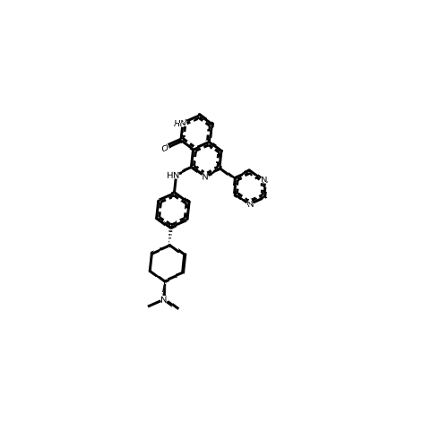 CN(C)[C@H]1CC[C@H](c2ccc(Nc3nc(-c4cncnc4)cc4cc[nH]c(=O)c34)cc2)CC1